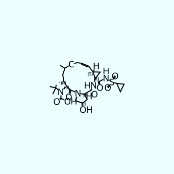 CC1CCC=C[C@@H]2C[C@@]2(C(=O)NS(=O)(=O)C2CC2)NC(=O)[C@@H]2C[C@@H](O)CN2C(=O)[C@@H](N(C(=O)O)C(C)(C)C)[C@H](C)C1